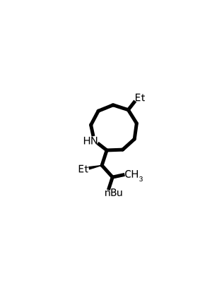 CCCCC(C)[C@@H](CC)C1CCCC(CC)CCCN1